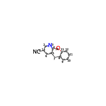 N#Cc1cnc2c(c1)Cc1ccccc1O2